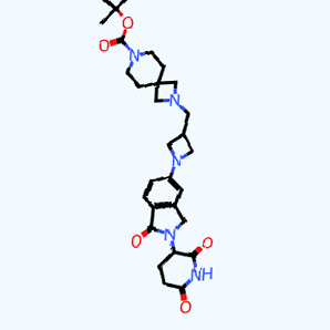 CC(C)(C)OC(=O)N1CCC2(CC1)CN(CC1CN(c3ccc4c(c3)CN(C3CCC(=O)NC3=O)C4=O)C1)C2